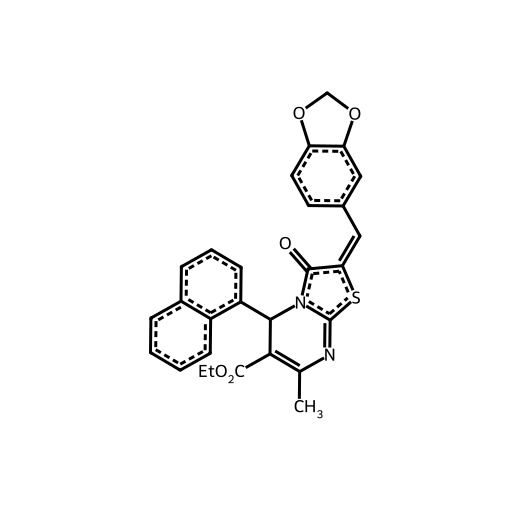 CCOC(=O)C1=C(C)N=c2s/c(=C/c3ccc4c(c3)OCO4)c(=O)n2C1c1cccc2ccccc12